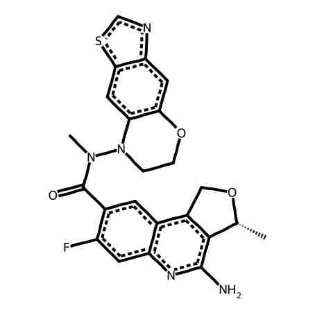 C[C@H]1OCc2c1c(N)nc1cc(F)c(C(=O)N(C)N3CCOc4cc5ncsc5cc43)cc21